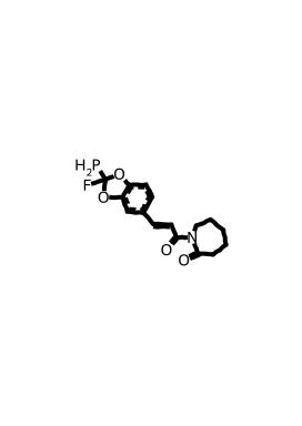 O=C(/C=C/c1ccc2c(c1)OC(F)(P)O2)N1CCCCCC1=O